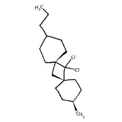 CCCC1CC[C@]2(CC1)C[C@@]1(CC[C@H](C)CC1)C2(Cl)Cl